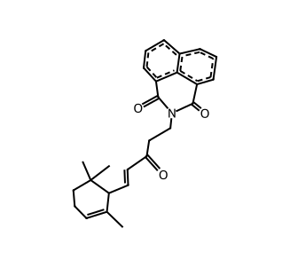 CC1=CCCC(C)(C)C1/C=C/C(=O)CCN1C(=O)c2cccc3cccc(c23)C1=O